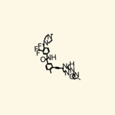 Cc1ccc(C(=O)Nc2ccc(CN3CCN(C)CC3)c(C(F)(F)F)c2)cc1C#Cc1cnc(NC2=N[C@@H](C)CO2)c(C)n1